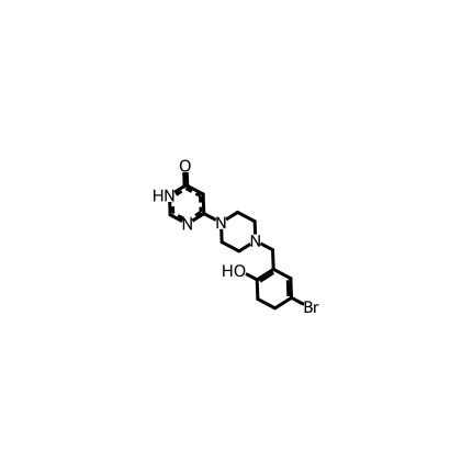 O=c1cc(N2CCN(CC3=C(O)CCC(Br)=C3)CC2)nc[nH]1